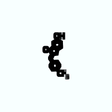 O=C1C(=Cc2ccc(C(F)(F)F)cc2)Cc2ccc(O)cc21